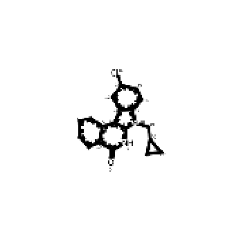 O=c1[nH]c2c(c3ccccc13)c1cc(Cl)ccc1n2CC1CC1